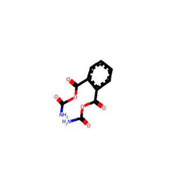 NC(=O)OC(=O)c1ccccc1C(=O)OC(N)=O